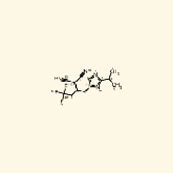 CC(C)c1ncn(CC(CC(F)(F)F)C(C#N)C#N)n1